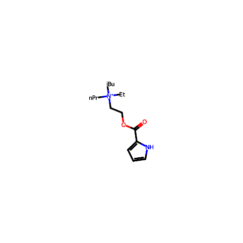 CCC[N+](CC)(CCOC(=O)c1ccc[nH]1)C(C)CC